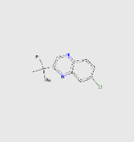 CC(C)C(C)(c1cnc2ccc(Cl)cc2n1)C(C)(C)C